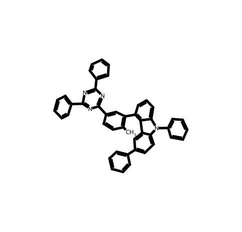 Cc1ccc(-c2nc(-c3ccccc3)nc(-c3ccccc3)n2)cc1-c1cccc2c1c1cc(-c3ccccc3)ccc1n2-c1ccccc1